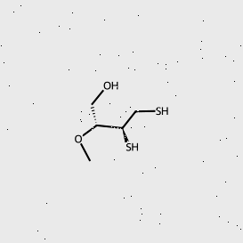 CO[C@H](CO)[C@H](S)CS